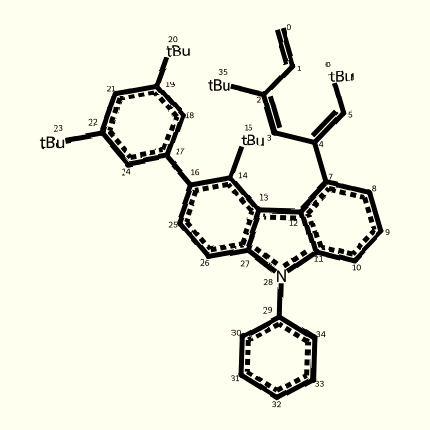 C=C/C(=C\C(=C/C(C)(C)C)c1cccc2c1c1c(C(C)(C)C)c(-c3cc(C(C)(C)C)cc(C(C)(C)C)c3)ccc1n2-c1ccccc1)C(C)(C)C